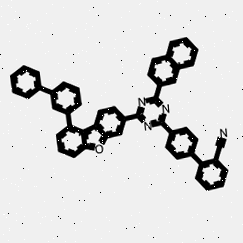 N#Cc1ccccc1-c1ccc(-c2nc(-c3ccc4ccccc4c3)nc(-c3ccc4c(c3)oc3cccc(-c5cccc(-c6ccccc6)c5)c34)n2)cc1